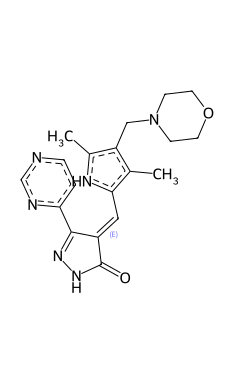 Cc1[nH]c(/C=C2/C(=O)NN=C2c2ccncn2)c(C)c1CN1CCOCC1